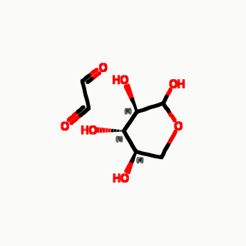 O=CC=O.OC1OC[C@@H](O)[C@H](O)[C@H]1O